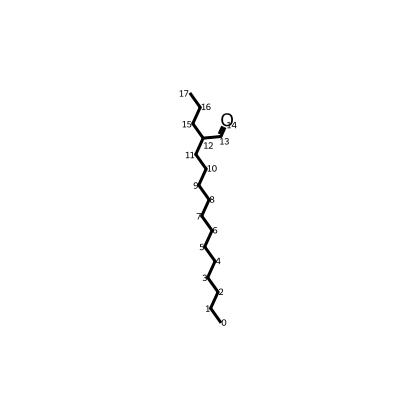 CCCCCCCCCCCCC(C=O)CCC